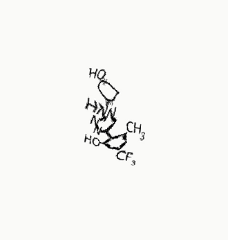 Cc1cc(C(F)(F)F)cc(O)c1-c1cnc(N[C@@H]2CCC[C@@H](O)C2)nn1